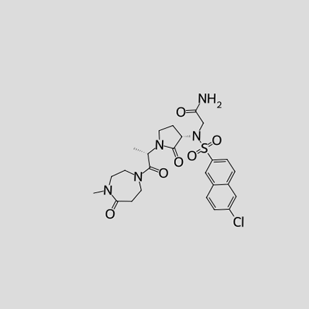 C[C@@H](C(=O)N1CCC(=O)N(C)CC1)N1CC[C@H](N(CC(N)=O)S(=O)(=O)c2ccc3cc(Cl)ccc3c2)C1=O